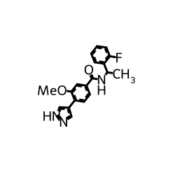 COc1cc(C(=O)NC(C)c2ccccc2F)ccc1-c1cn[nH]c1